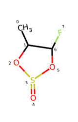 CC1OS(=O)OC1F